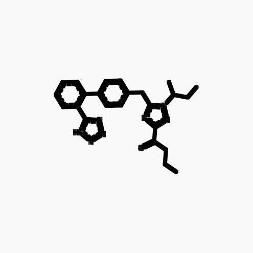 CCCC(=O)c1nc(Cc2ccc(-c3ccccc3-c3nnn[nH]3)cc2)n(C(C)CC)n1